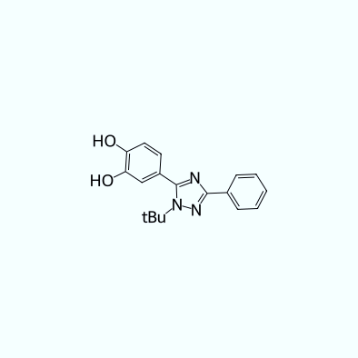 CC(C)(C)n1nc(-c2ccccc2)nc1-c1ccc(O)c(O)c1